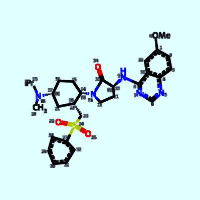 COc1ccc2ncnc(N[C@H]3CCN([C@H]4CC[C@@H](N(C)C(C)C)C[C@H]4CS(=O)(=O)c4ccccc4)C3=O)c2c1